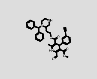 C#Cc1cccc(C2C(C(=O)OCCC3CNCCN3C(c3ccccc3)c3ccccc3)=C(C)NC(C=O)=C2C(=O)OC)c1